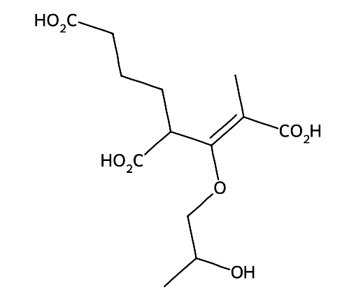 CC(C(=O)O)=C(OCC(C)O)C(CCCC(=O)O)C(=O)O